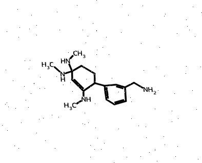 CNC1=CC(NC)(NC)CCC1c1cccc(CN)c1